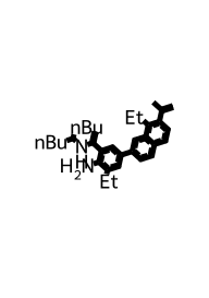 C=C(NC(CCCC)CCCC)c1cc(-c2ccc3ccc(C(=C)C)c(CC)c3c2)cc(CC)c1N